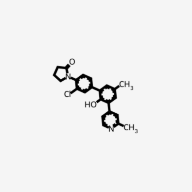 Cc1cc(-c2ccnc(C)c2)c(O)c(-c2ccc(N3CCCC3=O)c(Cl)c2)c1